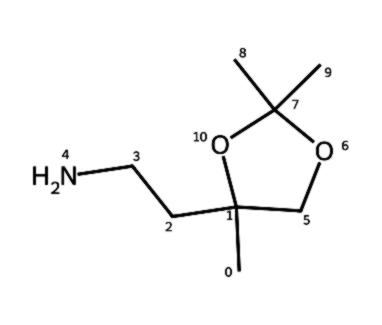 CC1(CCN)COC(C)(C)O1